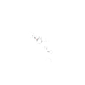 CN1CC2CCC(C1)N2c1nc2c(s1)CN(C(=O)CC1CCCC1)CC2(C)C